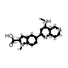 CNc1cc(-c2ccc3c(c2)cc(C(=O)O)n3C)nc2ccncc12